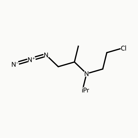 CC(C)N(CCCl)C(C)CN=[N+]=[N-]